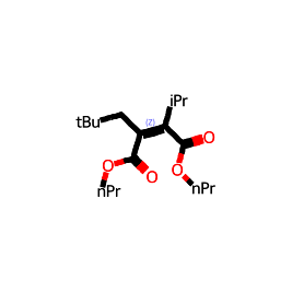 CCCOC(=O)/C(CC(C)(C)C)=C(\C(=O)OCCC)C(C)C